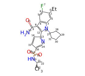 CCc1cc2c(cc1F)c(C(N)=O)c(-c1ccc(S(=O)(=O)N[C@@H](C)C(F)(F)F)cn1)n2C1CCCC1